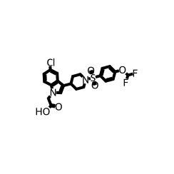 O=C(O)Cn1cc(C2CCN(S(=O)(=O)c3ccc(OC(F)F)cc3)CC2)c2cc(Cl)ccc21